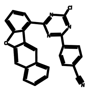 N#Cc1ccc(-c2nc(Cl)nc(-c3cccc4oc5cc6ccccc6cc5c34)n2)cc1